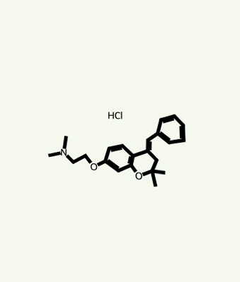 CN(C)CCOc1ccc2c(c1)OC(C)(C)CC2=Cc1ccccc1.Cl